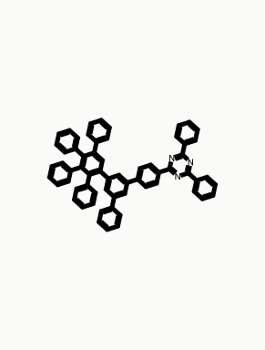 c1ccc(-c2cc(-c3ccc(-c4nc(-c5ccccc5)nc(-c5ccccc5)n4)cc3)cc(-c3cc(-c4ccccc4)c(-c4ccccc4)c(-c4ccccc4)c3-c3ccccc3)c2)cc1